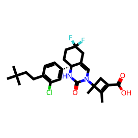 CC1=C(C(=O)O)CC1(C)N1C=C2CC(F)(F)CC[C@]2(c2ccc(CCC(C)(C)C)c(Cl)c2)NC1=O